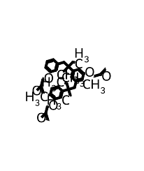 CCC(CC)(Cc1cccc(OCC2CO2)c1C)c1cc(CC(CC)(CC)c2ccc(C)c(OCC3CO3)c2)c(C)c(OCC2CO2)c1